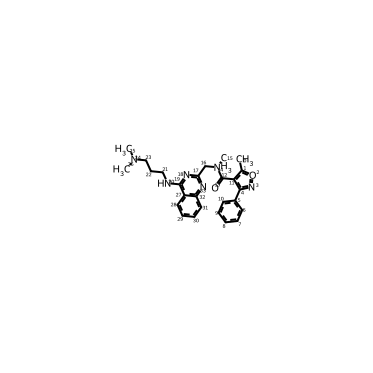 Cc1onc(-c2ccccc2)c1C(=O)N(C)Cc1nc(NCCCN(C)C)c2ccccc2n1